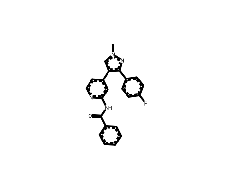 Cn1cc(-c2ccnc(NC(=O)c3ccccc3)c2)c(-c2ccc(F)cc2)n1